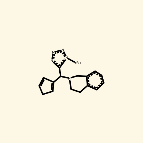 CC(C)(C)n1nnnc1C(C1=CCC=C1)N1CCc2ccccc2C1